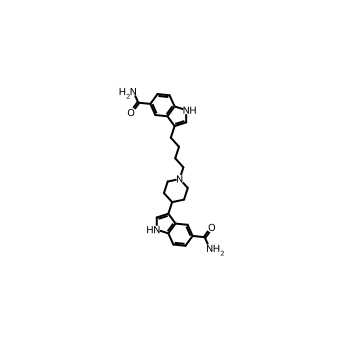 NC(=O)c1ccc2[nH]cc(CCCCN3CCC(c4c[nH]c5ccc(C(N)=O)cc45)CC3)c2c1